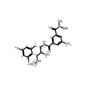 CCCN(CCC)C(=O)c1cc(C)cc(C(=O)N[C@@H](Cc2cc(F)cc(F)c2)C(O)CNC(=O)O)c1